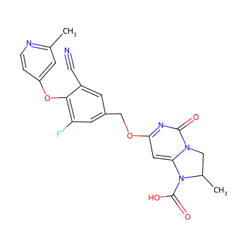 Cc1cc(Oc2c(F)cc(COc3cc4n(c(=O)n3)CC(C)N4C(=O)O)cc2C#N)ccn1